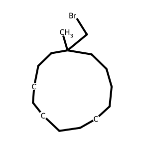 CC1(CBr)CCCCCCCCCCCC1